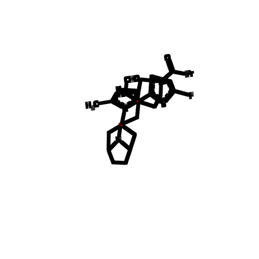 Cc1nc2c(n1C1CC3CCC(C1)N3CCC(NC=O)c1ccc(F)s1)CCN(C(=O)C(C)C)C2